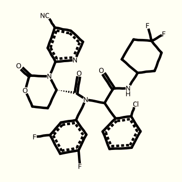 N#Cc1ccnc(N2C(=O)OCC[C@H]2C(=O)N(c2cc(F)cc(F)c2)C(C(=O)NC2CCC(F)(F)CC2)c2ccccc2Cl)c1